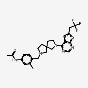 CC(=O)Nc1ccc(CN2CCC3(CCN(c4ncnc5sc(CC(F)(F)F)cc45)C3)C2)c(C)c1